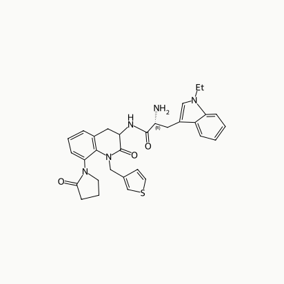 CCn1cc(C[C@@H](N)C(=O)NC2Cc3cccc(N4CCCC4=O)c3N(Cc3ccsc3)C2=O)c2ccccc21